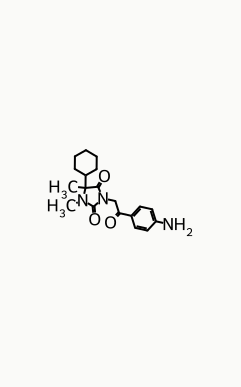 CN1C(=O)N(CC(=O)c2ccc(N)cc2)C(=O)C1(C)C1CCCCC1